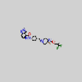 Cn1cc2c(C(=O)N[C@H]3CC[C@H](CCN4CCc5nc(OCC6CC6(F)F)sc5CC4)CC3)cccc2n1